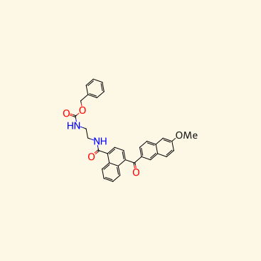 COc1ccc2cc(C(=O)c3ccc(C(=O)NCCNC(=O)OCc4ccccc4)c4ccccc34)ccc2c1